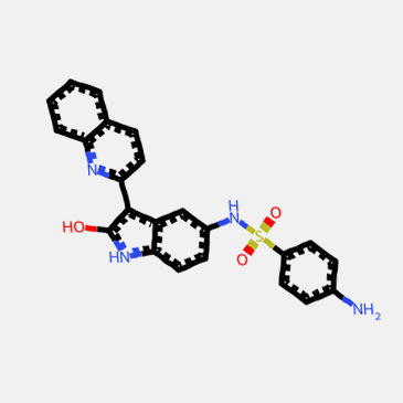 Nc1ccc(S(=O)(=O)Nc2ccc3[nH]c(O)c(-c4ccc5ccccc5n4)c3c2)cc1